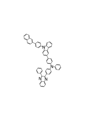 c1ccc(-c2nc3ccccc3nc2-c2ccc(N(c3ccccc3)c3ccc(-c4ccc5c(c4)c4ccccc4n5-c4ccc(-c5ccc6ccccc6c5)cc4)cc3)cc2)cc1